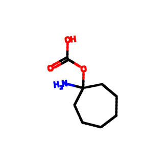 NC1(OC(=O)O)CCCCCC1